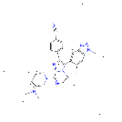 CN(C)[C@@H]1CCCN(c2nccn3c(-c4cc5nnn(C)c5cc4F)c(-c4ccc(C#N)cc4)nc23)C1